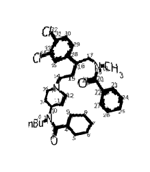 CCCCN(C(=O)C1CCCCC1)C1CCN(CCC(CN(C)C(=O)c2ccccc2)c2ccc(Cl)c(Cl)c2)CC1